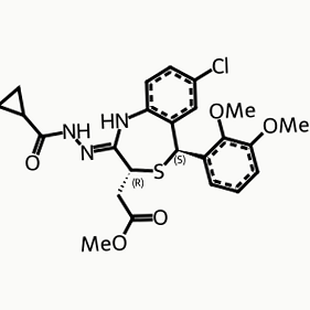 COC(=O)C[C@H]1S[C@H](c2cccc(OC)c2OC)c2cc(Cl)ccc2NC1=NNC(=O)C1CC1